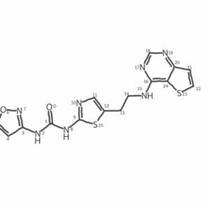 O=C(Nc1ccon1)Nc1ncc(CCNc2ncnc3ccsc23)s1